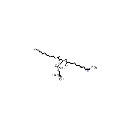 CCCCCCCCC/C=C\CCCCCCCC(=O)O[C@H](COC(=O)CCCCCCCCCCCCCCCCCCC)COP(=O)(O)OC[C@@H](O)CO